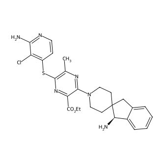 CCOC(=O)c1nc(Sc2ccnc(N)c2Cl)c(C)nc1N1CCC2(CC1)Cc1ccccc1[C@H]2N